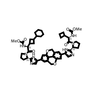 COC(=O)N[C@H](C(=O)N1CCC[C@H]1c1ncc(-c2cc3c4c(c2)OCc2cc(-c5cnc([C@@H]6CCCN6C(=O)[C@@H](NC(=O)OC)C6CC(C7CCCCC7)C6)[nH]5)cc(c2-4)OC3)[nH]1)C1CCC1